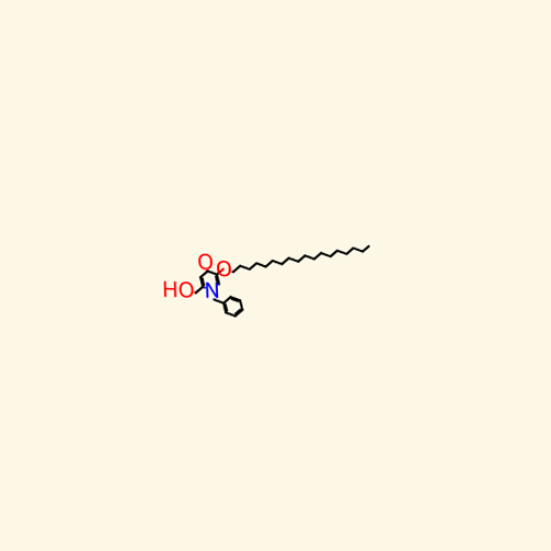 CCCCCCCCCCCCCCCCCCOc1cn(Cc2ccccc2)c(CO)cc1=O